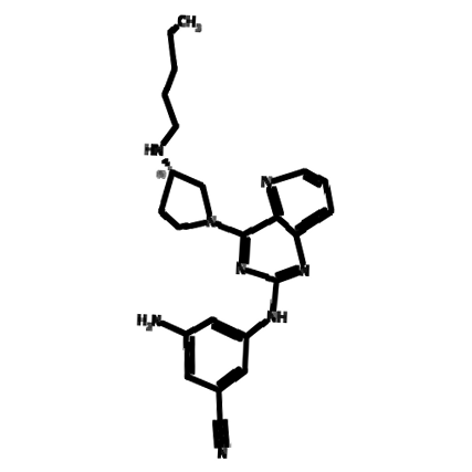 CCCCCN[C@H]1CCN(c2nc(Nc3cc(N)cc(C#N)c3)nc3cccnc23)C1